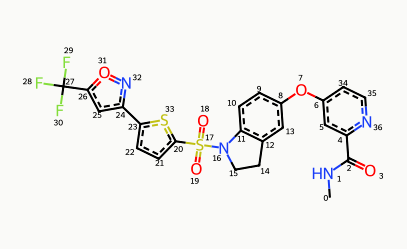 CNC(=O)c1cc(Oc2ccc3c(c2)CCN3S(=O)(=O)c2ccc(-c3cc(C(F)(F)F)on3)s2)ccn1